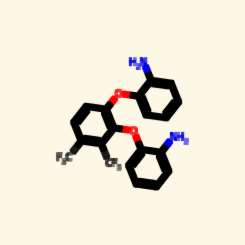 Nc1ccccc1Oc1ccc(C(F)(F)F)c(C(F)(F)F)c1Oc1ccccc1N